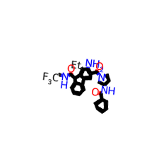 CCc1c(N)c(C(=O)N2CCC(NC(=O)c3ccccc3)C2)cc2c1C(C(=O)NCC(F)(F)F)c1ccccc1-2